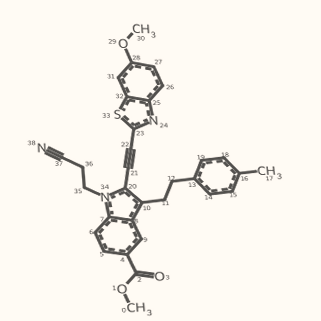 COC(=O)c1ccc2c(c1)c(CCc1ccc(C)cc1)c(C#Cc1nc3ccc(OC)cc3s1)n2CCC#N